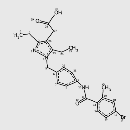 CCc1nn(Cc2ccc(NC(=O)c3ccc(Br)cc3C)cc2)c(CC)c1CC(=O)O